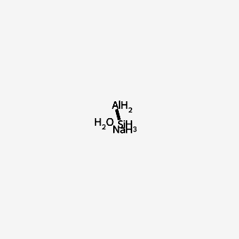 O.[AlH2][SiH3].[NaH]